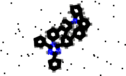 c1ccc(-c2nc(-c3ccccc3)nc(-c3ccc(-c4ccccc4)c(-c4cc(-n5c6ccccc6c6ccccc65)ccc4-c4ccccc4)c3)n2)cc1